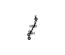 O=C(CCSCc1ccc(F)cc1)NCCCCCC(=O)Nc1cccc(-c2ccccc2)c1